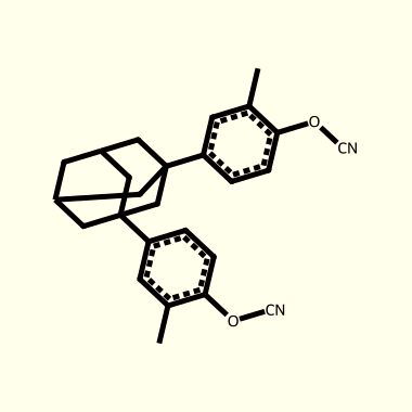 Cc1cc(C23CC4CC(C2)CC(c2ccc(OC#N)c(C)c2)(C4)C3)ccc1OC#N